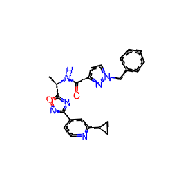 CC(NC(=O)c1ccn(Cc2ccccc2)n1)c1nc(-c2ccnc(C3CC3)c2)no1